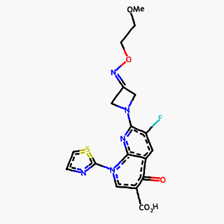 COCCON=C1CN(c2nc3c(cc2F)c(=O)c(C(=O)O)cn3-c2nccs2)C1